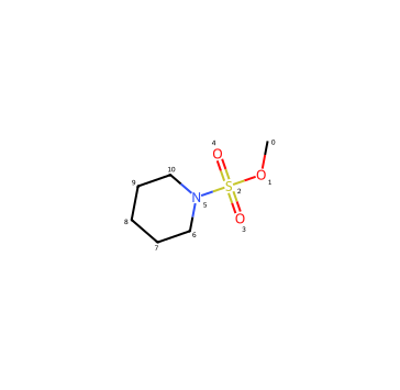 COS(=O)(=O)N1CCCCC1